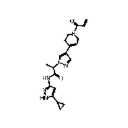 C=CC(=O)N1CC=C(c2cnn(C(C)C(=O)Nc3cc(C4CC4)[nH]n3)c2)CC1